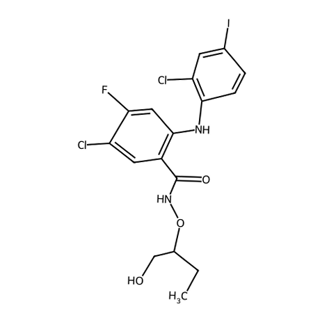 CCC(CO)ONC(=O)c1cc(Cl)c(F)cc1Nc1ccc(I)cc1Cl